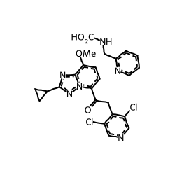 COc1ccc(C(=O)Cc2c(Cl)cncc2Cl)n2nc(C3CC3)nc12.O=C(O)NCc1ccccn1